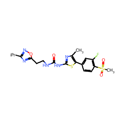 Cc1nc(NC(=O)NCCc2nc(C(C)C)no2)sc1-c1ccc(S(C)(=O)=O)c(F)c1